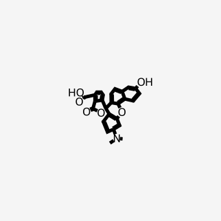 CN(C)c1ccc2c(c1)Oc1c(ccc3cc(O)ccc13)C21OC(=O)c2c(C(=O)O)cccc21